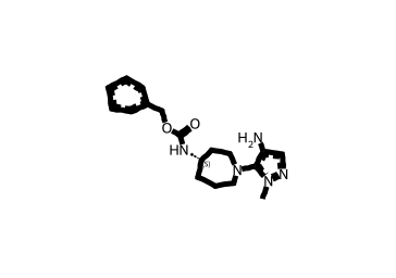 Cn1ncc(N)c1N1CCC[C@H](NC(=O)OCc2ccccc2)CC1